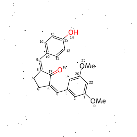 COc1cc(C=C2CCC(=Cc3ccc(O)cc3)C2=O)cc(OC)c1